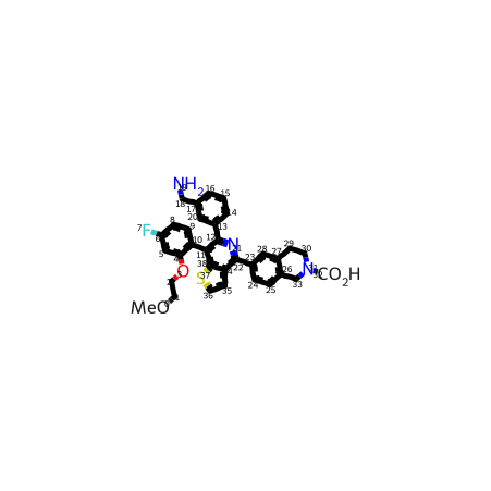 COCCOc1cc(F)ccc1-c1c(-c2cccc(CN)c2)nc(-c2ccc3c(c2)CCN(C(=O)O)C3)c2ccsc12